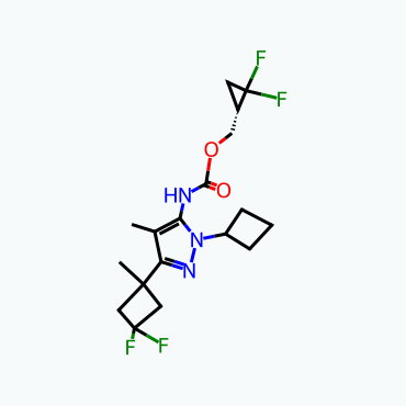 Cc1c(C2(C)CC(F)(F)C2)nn(C2CCC2)c1NC(=O)OC[C@@H]1CC1(F)F